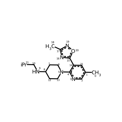 Cc1cnc(N2CCC(NCC(C)C)CC2)c(-c2nc(C)no2)c1